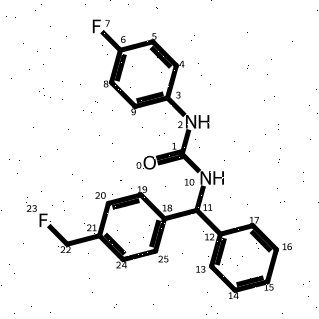 O=C(Nc1ccc(F)cc1)NC(c1ccccc1)c1ccc(CF)cc1